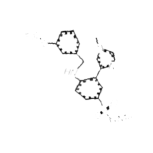 CNS(=O)(=O)c1ccc(NCc2cccc(OC(F)(F)F)c2)c(-c2cn(C)cn2)c1